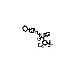 O=C(NCCN1CCN(C2CCCCC2)CC1)C(c1ccsc1)c1cc(C(F)(F)F)cc(C(F)(F)F)c1